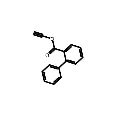 C#COC(=O)c1ccccc1-c1ccccc1